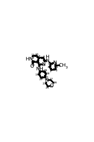 Cc1cccc(Nc2cc3cc[nH]c(=O)c3c(Nc3ccc(N4CCOCC4)cc3)n2)n1